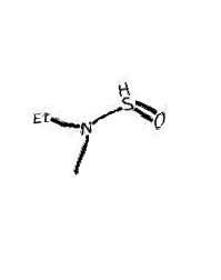 CCN(C)[SH]=O